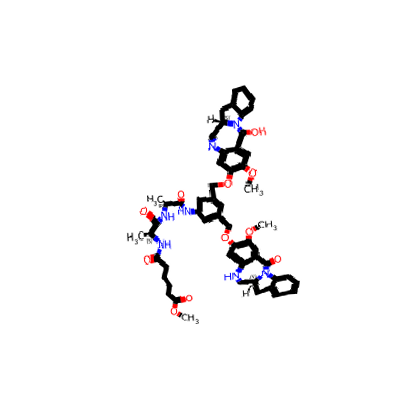 COC(=O)CCCCC(=O)N[C@@H](C)C(=O)N[C@H](C)C(=O)Nc1cc(COc2cc3c(cc2OC)C(O)N2c4ccccc4C[C@H]2C=N3)cc(COc2cc3c(cc2OC)C(=O)N2c4ccccc4C[C@H]2CN3)c1